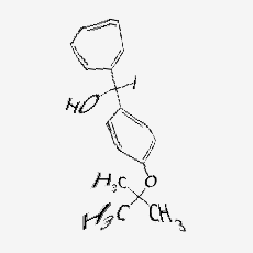 CC(C)(C)Oc1ccc(C(O)(I)c2ccccc2)cc1